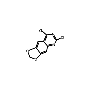 Clc1nc(Cl)c2cc3c(cc2n1)OCO3